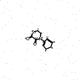 O=C1SCCN(C2=CC[CH]C=C2)C1=O